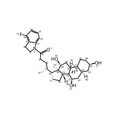 C[C@H](CCC(=O)N1CCc2c(F)cccc21)[C@H]1CC[C@H]2[C@@H]3[C@H](O)C[C@@H]4C[C@H](O)CC[C@]4(C)[C@H]3C[C@H](O)[C@]12C